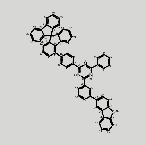 c1ccc(-c2nc(-c3ccc(-c4cccc5c4-c4ccccc4C54c5ccccc5-c5ccccc54)cc3)nc(-c3cccc(-c4ccc5sc6ccccc6c5c4)c3)n2)cc1